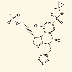 Cn1cc(CN2C(=O)c3cc(S(=O)(=O)NC4(C)CC4)cc(Cl)c3N3C2=NCC3C#CCOS(C)(=O)=O)cn1